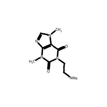 CNCCn1c(=O)c2c(ncn2C)n(C)c1=O